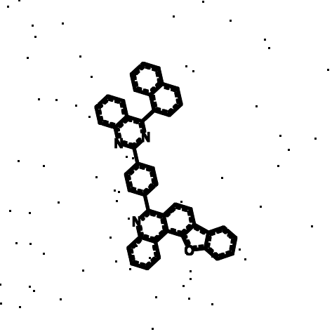 c1ccc2c(-c3nc(-c4ccc(-c5nc6ccccc6c6c5ccc5c7ccccc7oc56)cc4)nc4ccccc34)cccc2c1